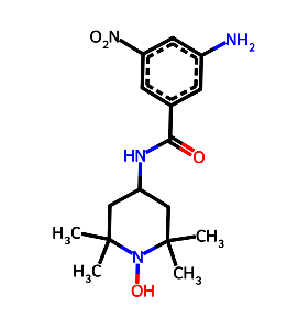 CC1(C)CC(NC(=O)c2cc(N)cc([N+](=O)[O-])c2)CC(C)(C)N1O